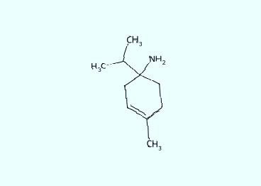 CC1=CCC(N)(C(C)C)CC1